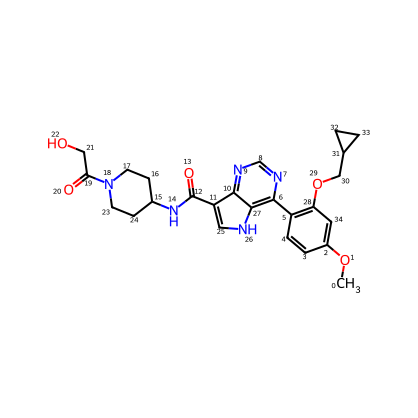 COc1ccc(-c2ncnc3c(C(=O)NC4CCN(C(=O)CO)CC4)c[nH]c23)c(OCC2CC2)c1